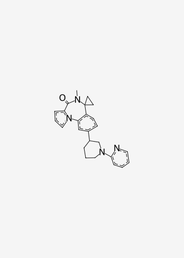 CN1C(=O)c2cccn2-c2cc(C3CCCN(c4ccccn4)C3)ccc2C12CC2